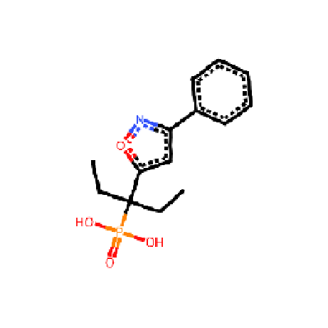 CCC(CC)(c1cc(-c2ccccc2)no1)P(=O)(O)O